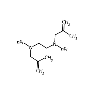 C=C(C)CN(CCC)CCN(CCC)CC(=C)C